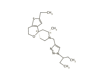 CCc1cc2c(s1)CCO[C@@]21CCN(Cc2cn(C(CC)CC)nn2)[C@@H](C)C1